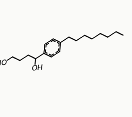 CCCCCCCCc1ccc(C(O)CCCO)cc1